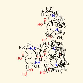 CC(C)(C)N1C(C(C)(C)C)(C(C)(C)C)CC(C(CCCC(=O)O)(C(=O)O)C2CC(C(C)(C)C)(C(C)(C)C)N(C(C)(C)C)C(C(C)(C)C)(C(C)(C)C)C2)CC1(C(C)(C)C)C(C)(C)C.CC1(C)CC(C(CCCC(=O)O)(C(=O)O)C2CC(C)(C)NC(C)(C)C2)CC(C)(C)N1.CN1C(C)(C(C)(C)C)CC(C(CCCC(=O)O)(C(=O)O)C2CC(C)(C(C)(C)C)N(C)C(C)(C(C)(C)C)C2)CC1(C)C(C)(C)C